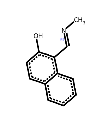 C/N=C/c1c(O)ccc2ccccc12